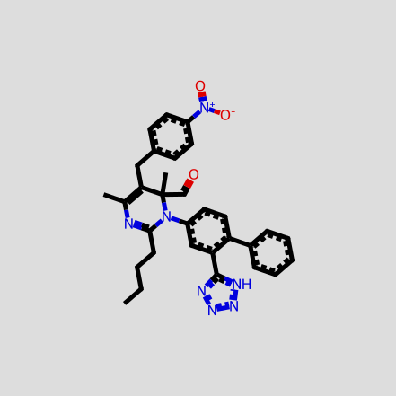 CCCCC1=NC(C)=C(Cc2ccc([N+](=O)[O-])cc2)C(C)(C=O)N1c1ccc(-c2ccccc2)c(-c2nnn[nH]2)c1